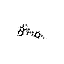 Cc1sc2cnccc2c1NC(=O)NCc1ccc(OC(F)(F)F)cc1